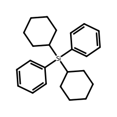 c1ccc([Si](c2ccccc2)(C2CCCCC2)C2CCCCC2)cc1